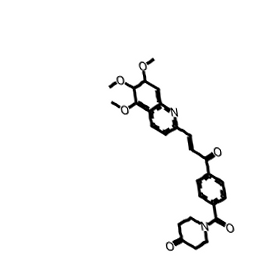 COC1=c2ccc(C=CC(=O)c3ccc(C(=O)N4CCC(=O)CC4)cc3)nc2=CC(OC)C1OC